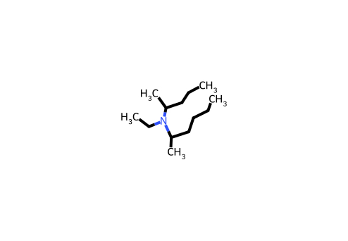 CCCCC(C)N(CC)C(C)CCC